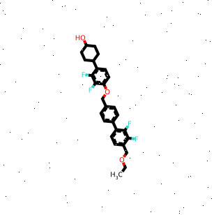 CCOCc1ccc(-c2ccc(COc3ccc(C4CCC(O)CC4)c(F)c3F)cc2)c(F)c1F